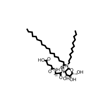 CCCCCCCCCCCCCCCCCC(=O)N(CCCCCCCCCCCC)[C@@H]1O[C@H](CO)[C@@H](O)[C@H](O)[C@@H]1NC(=O)[C@H](C)NC(=O)CCC(=O)O